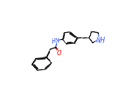 O=C(Cc1ccccc1)Nc1ccc(C2CCNC2)cc1